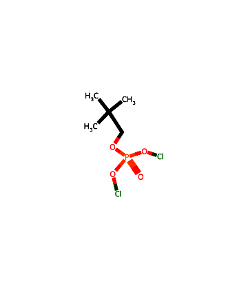 CC(C)(C)COP(=O)(OCl)OCl